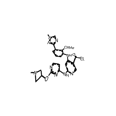 CCC(=O)c1cnc(Nc2ccnc(OC3CN(C)C3)n2)cc1Nc1cccc(-c2ncn(C)n2)c1OC